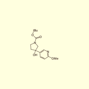 COc1ccc(C2(O)CCN(C(=O)OC(C)(C)C)C2)cn1